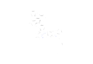 CCC/C=C\CCCN(c1ccccc1)c1ccc(-n2c3ccc(-c4c5c(c(-c6ccccc6)c6ccccc46)C=CCC5)cc3c3cccnc32)cc1